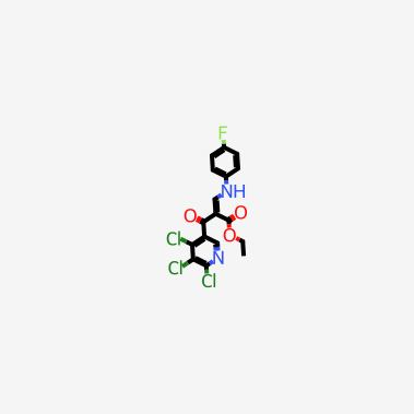 CCOC(=O)C(=CNc1ccc(F)cc1)C(=O)c1cnc(Cl)c(Cl)c1Cl